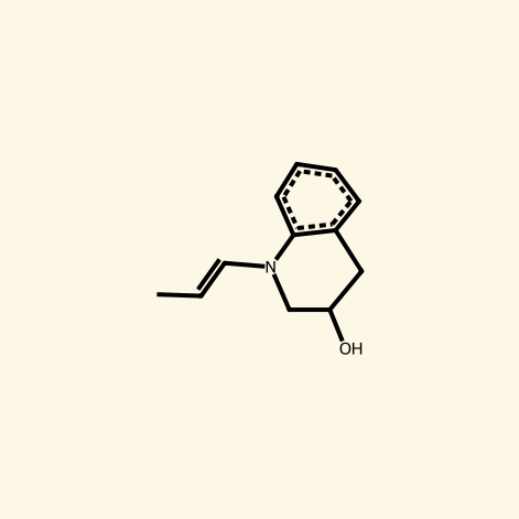 C/C=C/N1CC(O)Cc2ccccc21